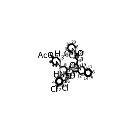 CC(=O)OC1CCN(CCC(NC(=O)C2Cc3ccccc3CN2C(=O)CCC(=O)N2CCCCC2(C)C)C(=O)Nc2ccc(Cl)c(Cl)c2F)CC1